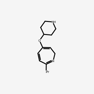 CC(C)C1=NCC=C(OC2CCNCC2)C=C1